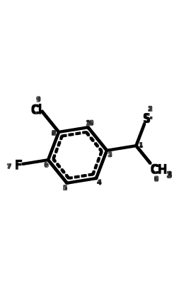 CC([S])c1ccc(F)c(Cl)c1